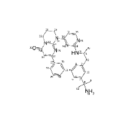 CC(Cc1cccc(C(C)(C)N)c1)Nc1nccc(N2CCCn3c2nc(-c2ccccc2)cc3=O)n1